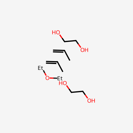 C=CC.C=CC.CCOCC.OCCO.OCCO